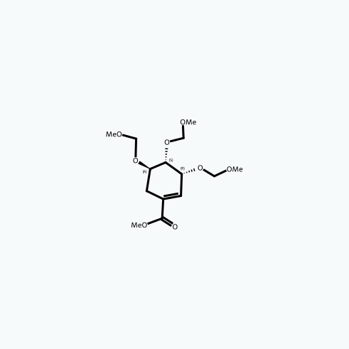 COCO[C@@H]1[C@H](OCOC)C=C(C(=O)OC)C[C@H]1OCOC